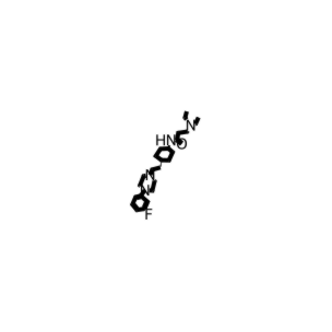 CCN(CC)CCC(=O)N[C@H]1CC[C@H](CCN2CCN(c3cccc(F)c3)CC2)CC1